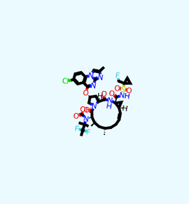 Cc1cn2c(n1)nc(O[C@@H]1C[C@H]3C(=O)N[C@]4(C(=O)NS(=O)(=O)C5(CF)CC5)C[C@H]4C=CCC[C@H](C)C[C@@H](C)[C@H](N(C(=O)O)C(C)(C)C(C)(F)F)C(=O)N3C1)c1cc(Cl)ccc12